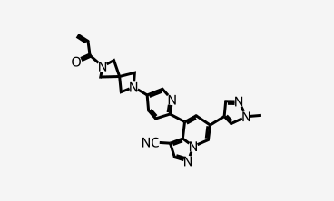 C=CC(=O)N1CC2(C1)CN(c1ccc(-c3cc(-c4cnn(C)c4)cn4ncc(C#N)c34)nc1)C2